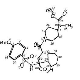 COc1ccc(S(=O)(=O)NC(CCC(=O)N2CCC(N(C)C(=O)OC(C)(C)C)CC2)(C(=O)O)C2CCCCC2)cc1